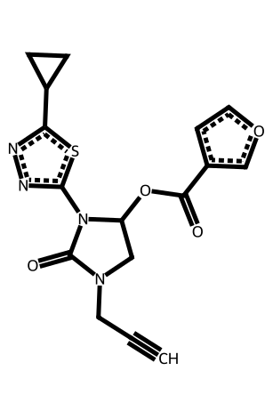 C#CCN1CC(OC(=O)c2ccoc2)N(c2nnc(C3CC3)s2)C1=O